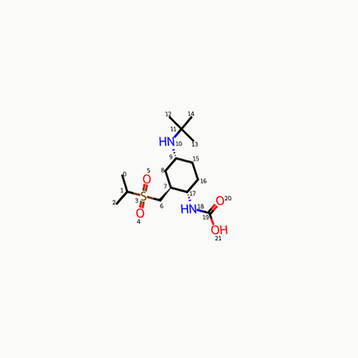 CC(C)S(=O)(=O)C[C@H]1C[C@H](NC(C)(C)C)CC[C@@H]1NC(=O)O